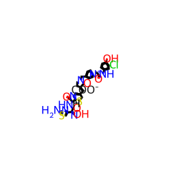 Nc1nc(/C(=N/O)C(=O)N[C@@H]2C(=O)N3C(C(=O)[O-])=C(C=C4CCN(Cc5cc[n+](CC(=O)Nc6ccc(O)c(Cl)c6)cc5)C4=O)CS[C@H]23)cs1